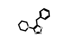 c1ccc(Cc2onnc2N2CCCCC2)cc1